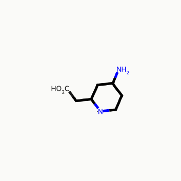 NC1CC[N]C(CC(=O)O)C1